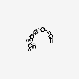 O=C1CCC(N2Cc3cc(N4CCN(Cc5ccc(CCOC6CCNCC6)cc5)CC4)ccc3C2=O)C(=O)N1